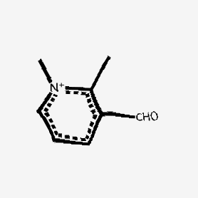 Cc1c(C=O)ccc[n+]1C